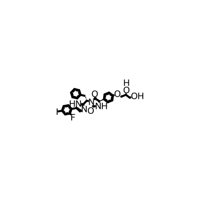 O=C1N[C@H](c2ccc(OC[C@@H](O)CO)cc2)C(=O)N1[C@@H](Cc1ccccc1)c1ncc(-c2ccc(I)cc2F)[nH]1